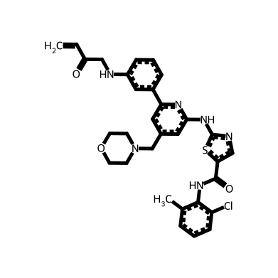 C=CC(=O)CNc1cccc(-c2cc(CN3CCOCC3)cc(Nc3ncc(C(=O)Nc4c(C)cccc4Cl)s3)n2)c1